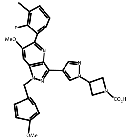 COc1ccc(Cn2nc(-c3cnn(C4CN(C(=O)O)C4)c3)c3nc(-c4cccc(C)c4F)c(OC)cc32)cc1